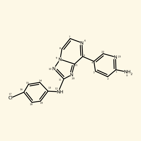 Nc1ccc(-c2nccn3nc(Nc4ccc(Cl)cc4)nc23)cn1